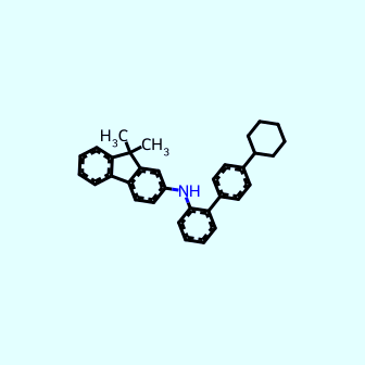 CC1(C)c2ccccc2-c2ccc(Nc3ccccc3-c3ccc(C4CCCCC4)cc3)cc21